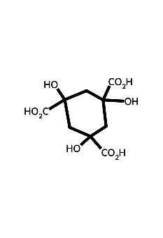 O=C(O)C1(O)CC(O)(C(=O)O)CC(O)(C(=O)O)C1